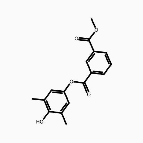 COC(=O)c1cccc(C(=O)Oc2cc(C)c(O)c(C)c2)c1